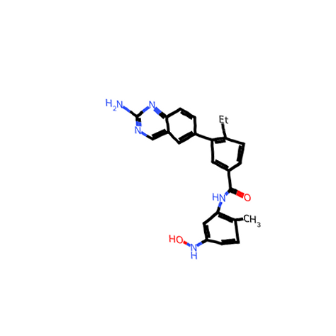 CCc1ccc(C(=O)Nc2cc(NO)ccc2C)cc1-c1ccc2nc(N)ncc2c1